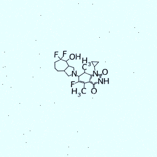 CC1=C(F)C(N2CC3CCCC(F)(F)C(O)C3C2)C(C)c2c1c(=O)[nH]c(=O)n2C1CC1